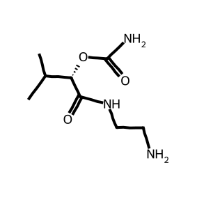 CC(C)[C@H](OC(N)=O)C(=O)NCCN